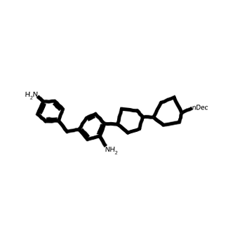 CCCCCCCCCCC1CCC(C2CCC(c3ccc(Cc4ccc(N)cc4)cc3N)CC2)CC1